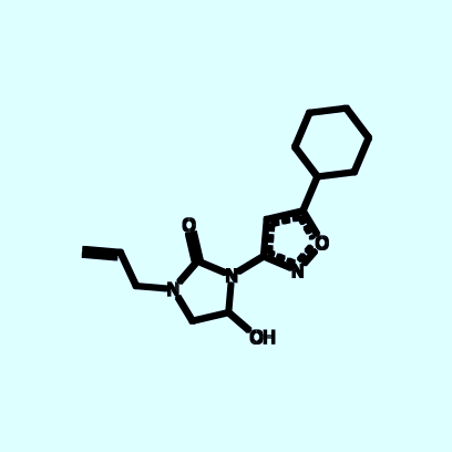 C=CCN1CC(O)N(c2cc(C3CCCCC3)on2)C1=O